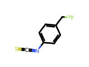 [18F]Cc1ccc(N=C=S)cc1